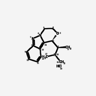 C[C@H]([C@H]1OCCn2nc3ccccc3c21)N(C)C.Cl